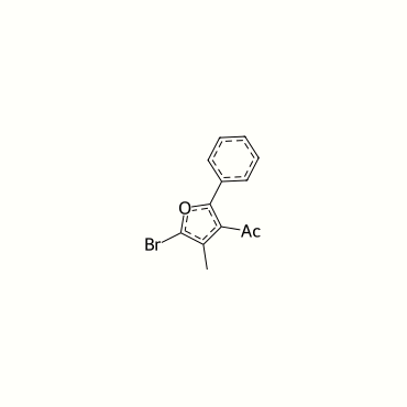 CC(=O)c1c(-c2ccccc2)oc(Br)c1C